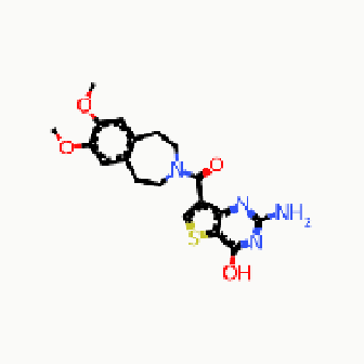 COc1cc2c(cc1OC)CCN(C(=O)c1csc3c(O)nc(N)nc13)CC2